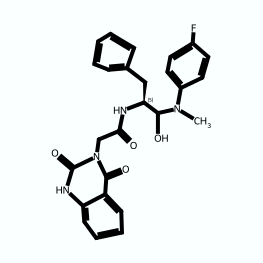 CN(c1ccc(F)cc1)C(O)[C@H](Cc1ccccc1)NC(=O)Cn1c(=O)[nH]c2ccccc2c1=O